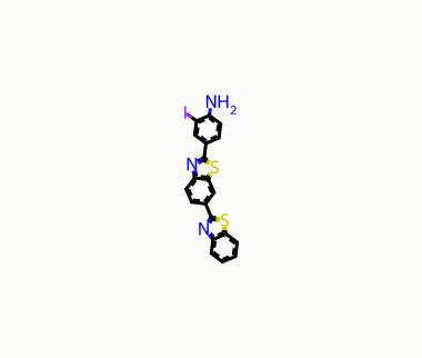 Nc1ccc(-c2nc3ccc(-c4nc5ccccc5s4)cc3s2)cc1I